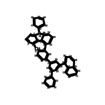 Cc1cccc2c1c1c(-c3cccc(-c4cc(-c5ccccc5)cc(-c5cccc6ccccc56)c4)c3)cccc1n2-c1ccccc1